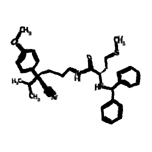 COc1ccc(C(C#N)(CCCNC(=O)[C@H](CCSC)NC(c2ccccc2)c2ccccc2)C(C)C)cc1